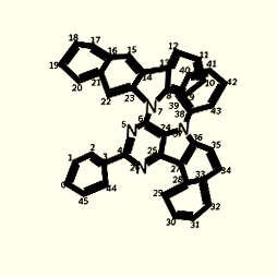 c1ccc(-c2nc(-n3c4ccccc4c4cc5ccccc5cc43)c3c(n2)c2c4ccccc4ccc2n3-c2ccccc2)cc1